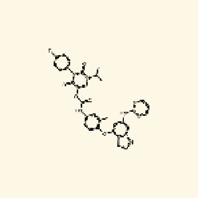 CC(C)n1cc(OC(=O)Nc2ccc(Oc3cc(Nc4ncccn4)cn4nccc34)c(F)c2)c(=O)n(-c2ccc(F)cc2)c1=O